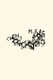 CC(=O)c1c(C)c2cnc(Nc3ccc(C4CCN(Cc5ccc([C@H](C)Cl)cc5)CC4)cn3)nc2n(C2CCCC2)c1=O